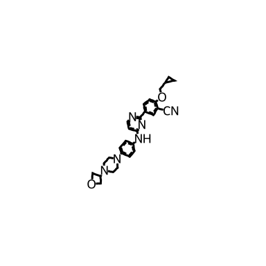 N#Cc1cc(-c2nccc(Nc3ccc(N4CCN(C5COC5)CC4)cc3)n2)ccc1OCC1CC1